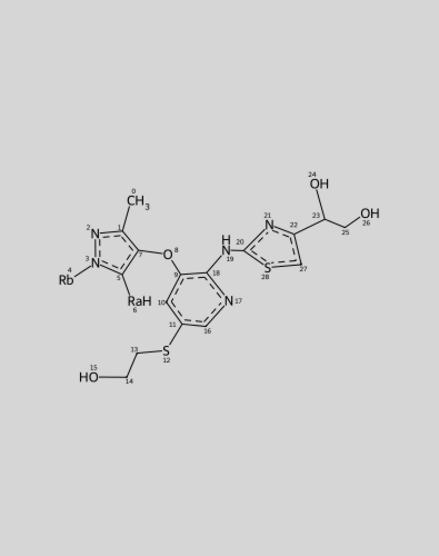 Cc1n[n]([Rb])[c]([RaH])c1Oc1cc(SCCO)cnc1Nc1nc(C(O)CO)cs1